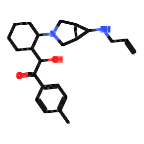 C=CCNC1C2CN(C3CCCCC3C(O)C(=O)c3ccc(C)cc3)CC21